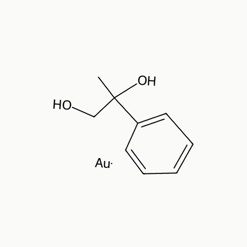 CC(O)(CO)c1ccccc1.[Au]